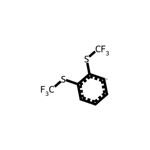 FC(F)(F)Sc1[c]cccc1SC(F)(F)F